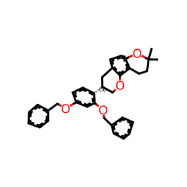 CC1(C)CCc2c(ccc3c2OC[C@H](c2ccc(OCc4ccccc4)cc2OCc2ccccc2)C3)O1